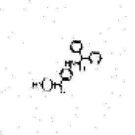 O=C(Nc1ccc(C(=O)N2CCNCC2)cc1)C(c1ccccc1)c1ccccc1